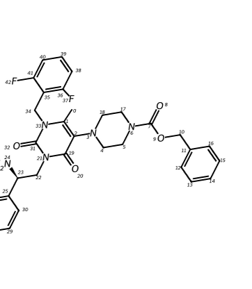 Cc1c(N2CCN(C(=O)OCc3ccccc3)CC2)c(=O)n(C[C@H](N)c2ccccc2)c(=O)n1Cc1c(F)cccc1F